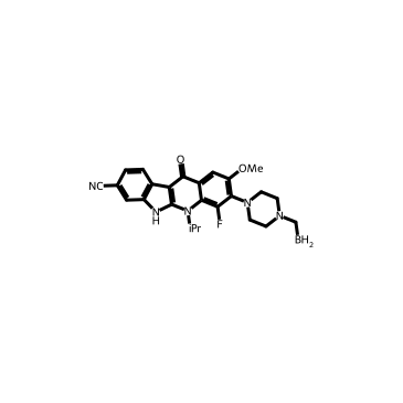 BCN1CCN(c2c(OC)cc3c(=O)c4c5ccc(C#N)cc5[nH]c4n(C(C)C)c3c2F)CC1